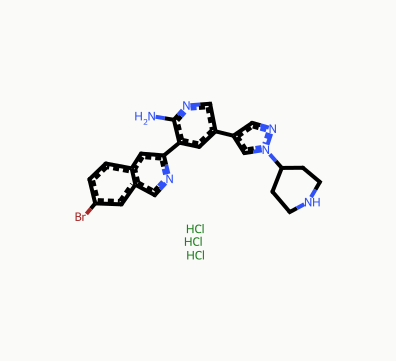 Cl.Cl.Cl.Nc1ncc(-c2cnn(C3CCNCC3)c2)cc1-c1cc2ccc(Br)cc2cn1